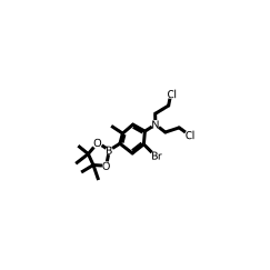 Cc1cc(N(CCCl)CCCl)c(Br)cc1B1OC(C)(C)C(C)(C)O1